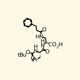 CC(C)C[C@H](NC(=O)OC(C)(C)C)C(=O)N[C@@H](CNC(=O)CCc1ccccc1)C(=O)O